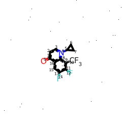 O=c1ccn(C2CC2)c2c(C(F)(F)F)c(F)c(F)cc12